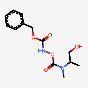 CC(CO)N(C)C(=O)ONC(=O)OCc1ccccc1